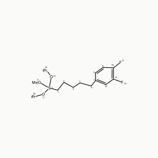 CO[Si](CCCCCc1ccc(F)c(F)c1)(OC(C)C)OC(C)C